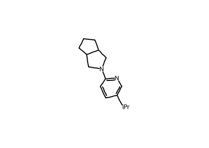 CC(C)c1ccc(N2CC3CCCC3C2)nc1